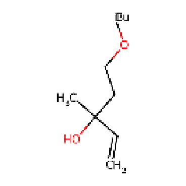 C=CC(C)(O)CCOC(C)CC